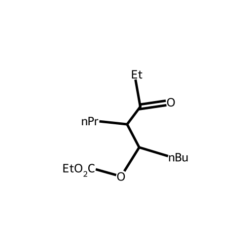 CCCCC(OC(=O)OCC)C(CCC)C(=O)CC